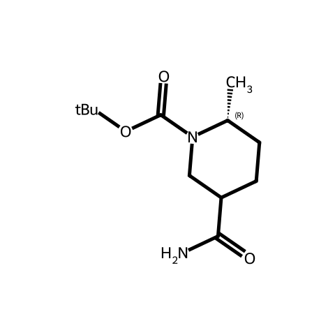 C[C@@H]1CCC(C(N)=O)CN1C(=O)OC(C)(C)C